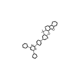 CC1(C)c2cc(-c3ccc(-c4nc(-c5ccccc5)cc(-c5ccccc5)n4)cc3)ccc2Oc2c1ccc1c2oc2ccccc21